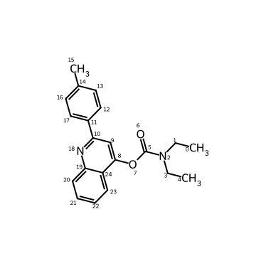 CCN(CC)C(=O)Oc1cc(-c2ccc(C)cc2)nc2ccccc12